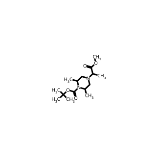 COC(=O)C(C)N1CC(C)N(C(=O)OC(C)(C)C)C(C)C1